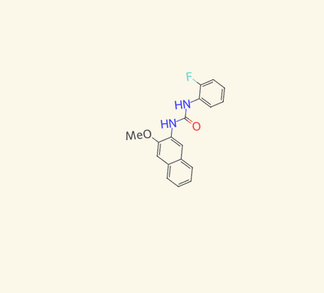 COc1cc2ccccc2cc1NC(=O)Nc1ccccc1F